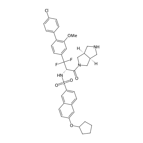 COc1cc(C(F)(F)[C@@H](NS(=O)(=O)c2ccc3cc(OC4CCCC4)ccc3c2)C(=O)N2C[C@H]3CNC[C@H]3C2)ccc1-c1ccc(Cl)cc1